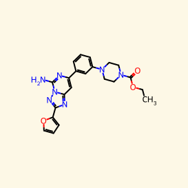 CCOC(=O)N1CCN(c2cccc(-c3cc4nc(-c5ccco5)nn4c(N)n3)c2)CC1